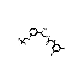 O=C(NC[C@@H](O)c1ccnc(OCC(F)(F)F)c1)Nc1cc(F)cc(F)c1